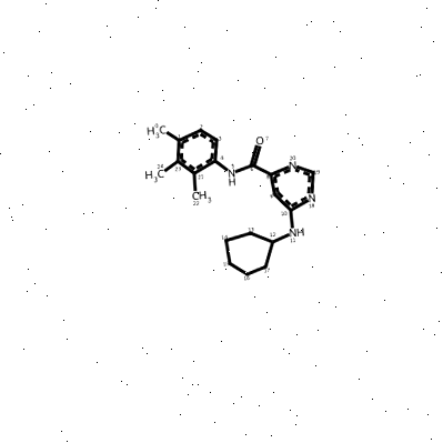 Cc1ccc(NC(=O)c2cc(NC3CCCCC3)ncn2)c(C)c1C